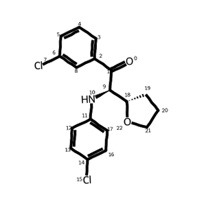 O=C(c1cccc(Cl)c1)[C@H](Nc1ccc(Cl)cc1)[C@@H]1CCCO1